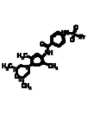 Cc1cc(N2C[C@@H](C)O[C@@H](C)C2)c(C)cc1NC(=O)c1ccc(NS(=O)(=O)C(C)C)cc1